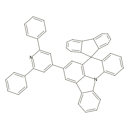 c1ccc(-c2cc(-c3cc4c5c(c3)c3ccccc3n5-c3ccccc3C43c4ccccc4-c4ccccc43)cc(-c3ccccc3)n2)cc1